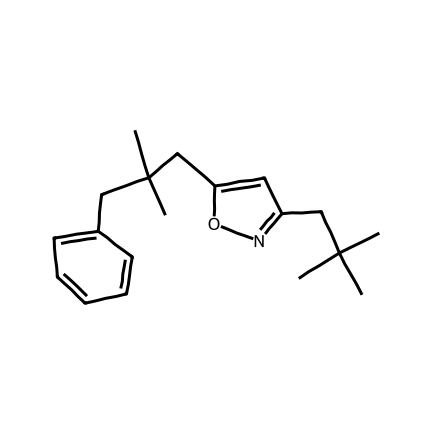 CC(C)(C)Cc1cc(CC(C)(C)Cc2ccccc2)on1